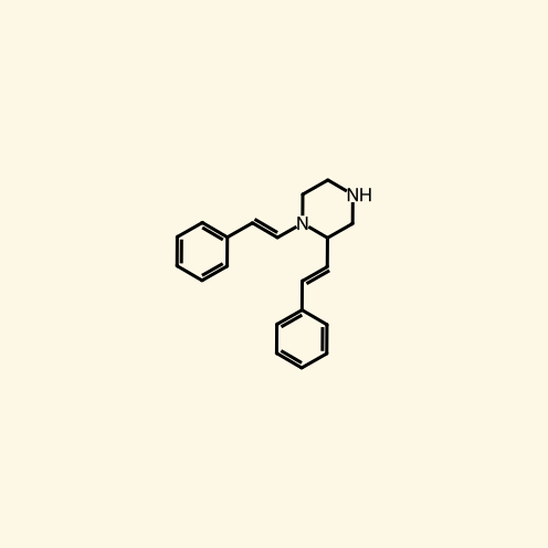 C(=CC1CNCCN1C=Cc1ccccc1)c1ccccc1